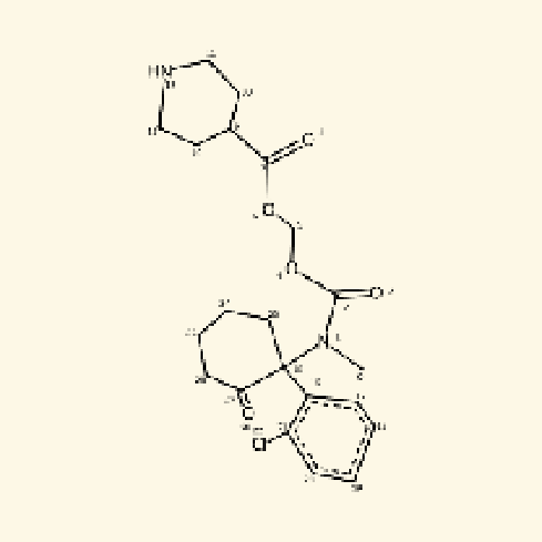 CN(C(=O)OCOC(=O)C1CCNCC1)C1(c2ccccc2Cl)CCCCC1=O